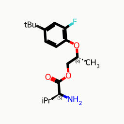 CC(C)[C@H](N)C(=O)OC[C@@H](C)Oc1ccc(C(C)(C)C)cc1F